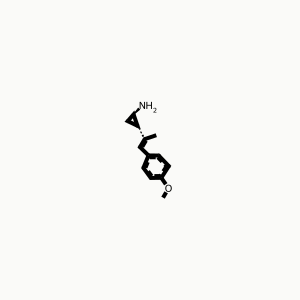 COc1ccc(/C=C(\C)[C@@H]2C[C@H]2N)cc1